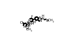 COCCNc1ncc2c(F)c(-c3c(F)cnc(NS(=O)(=O)c4cc(Cl)cnc4OC)c3F)ccc2n1